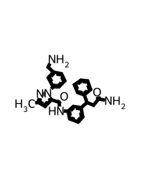 Cc1cc(C(=O)Nc2cccc(C(CC(N)=O)c3ccccc3)c2)n(-c2cccc(CN)c2)n1